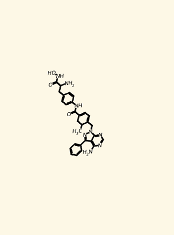 CC1CC(C(=O)Nc2ccc(CC(N)C(=O)NO)cc2)=CC=C1Cn1nc(-c2ccccc2)c2c(N)ncnc21